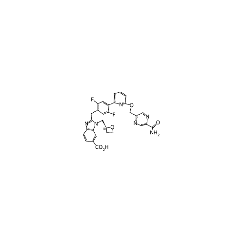 NC(=O)c1cnc(COc2cccc(-c3cc(F)c(Cc4nc5ccc(C(=O)O)cc5n4C[C@@H]4CCO4)cc3F)n2)cn1